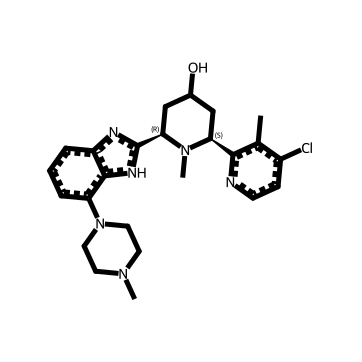 Cc1c(Cl)ccnc1[C@@H]1CC(O)C[C@H](c2nc3cccc(N4CCN(C)CC4)c3[nH]2)N1C